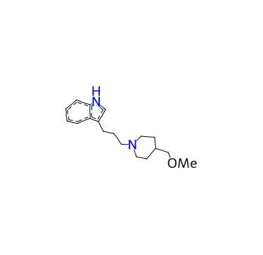 COCC1CCN(CCCc2c[nH]c3ccccc23)CC1